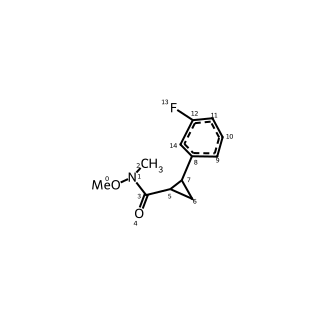 CON(C)C(=O)C1CC1c1cccc(F)c1